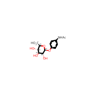 CC(=O)Nc1ccc(O[C@@H]2O[C@H](C(=O)O)[C@@H](O)[C@H](O)[C@H]2O)cc1